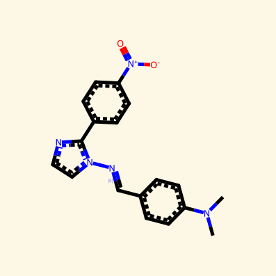 CN(C)c1ccc(/C=N/n2ccnc2-c2ccc([N+](=O)[O-])cc2)cc1